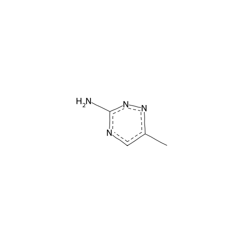 Cc1cnc(N)nn1